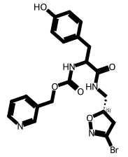 O=C(NC(Cc1ccc(O)cc1)C(=O)NC[C@@H]1CC(Br)=NO1)OCc1cccnc1